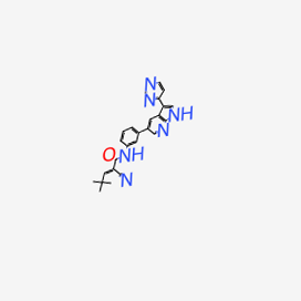 CC(C)(C)/C=C(\C#N)C(=O)Nc1cccc(-c2cnc3[nH]cc(-c4ccncn4)c3c2)c1